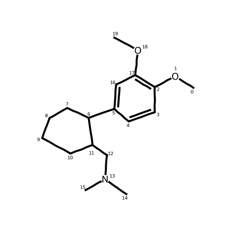 COc1ccc(C2CCCCC2CN(C)C)cc1OC